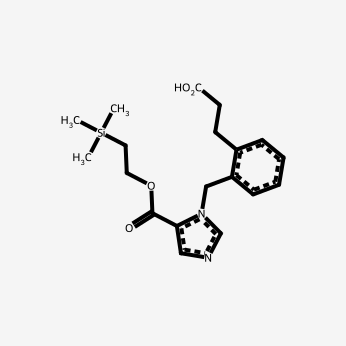 C[Si](C)(C)CCOC(=O)c1cncn1Cc1ccccc1CCC(=O)O